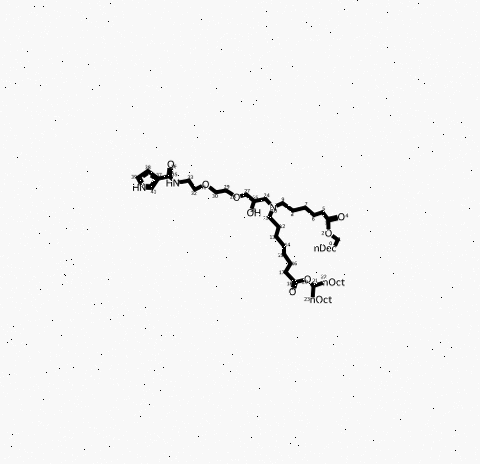 CCCCCCCCCCCOC(=O)CCCCCN(CCCCCCCC(=O)OC(CCCCCCCC)CCCCCCCC)CC(O)COCCOCCNC(=O)c1cc[nH]c1